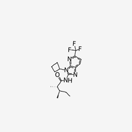 CC[C@@H](C)[C@H](C)C(=O)Nc1nc2ccc(C(F)(F)F)nc2n1C1CCC1